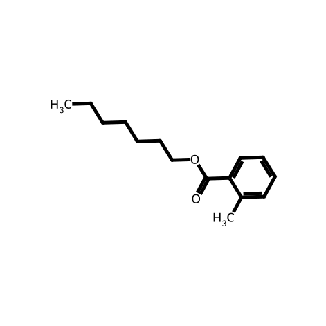 CCCCCCCOC(=O)c1ccccc1C